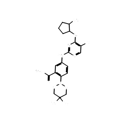 COC(=O)c1cc(Nc2ncc(Cl)c(NC3CCCC3C#N)n2)ccc1B1OCC(C)(C)CO1